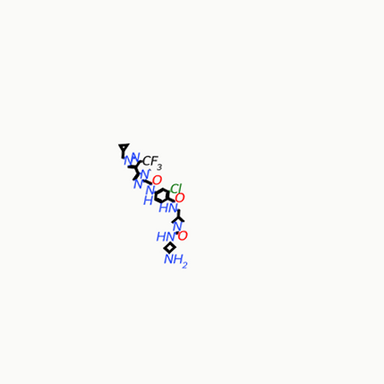 Cn1c(-c2cn(CC3CC3)nc2C(F)(F)F)cnc1C(=O)Nc1ccc(C(=O)NCC2CN(C(=O)N[C@H]3C[C@@H](N)C3)C2)c(Cl)c1